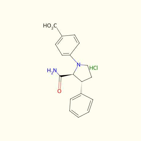 Cl.NC(=O)[C@@H]1[C@@H](c2ccccc2)CCN1c1ccc(C(=O)O)cc1